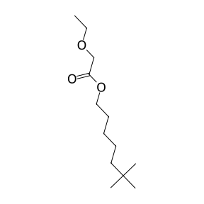 CCOCC(=O)OCCCCCC(C)(C)C